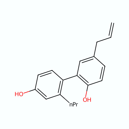 C=CCc1ccc(O)c(-c2ccc(O)cc2CCC)c1